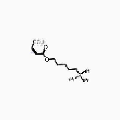 CC(C)[Si](CCCCCOC(=O)/C=C\C(=O)O)(C(C)C)C(C)C